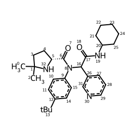 CC1(C)CC[C@H](C(=O)N(c2ccc(C(C)(C)C)cc2)C(C(=O)NC2CCCCC2)c2cccnc2)N1